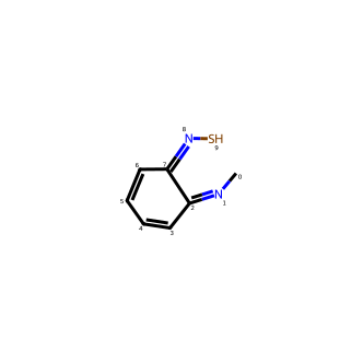 C/N=C1/C=CC=C/C1=N/S